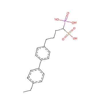 CCc1ccc(-c2ccc(CCCC(P(=O)(O)O)S(=O)(=O)O)cc2)cc1